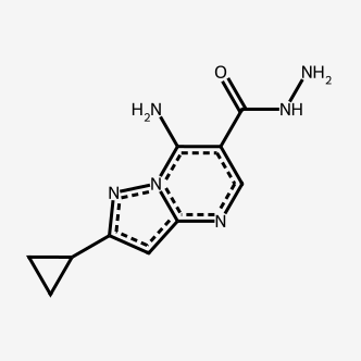 NNC(=O)c1cnc2cc(C3CC3)nn2c1N